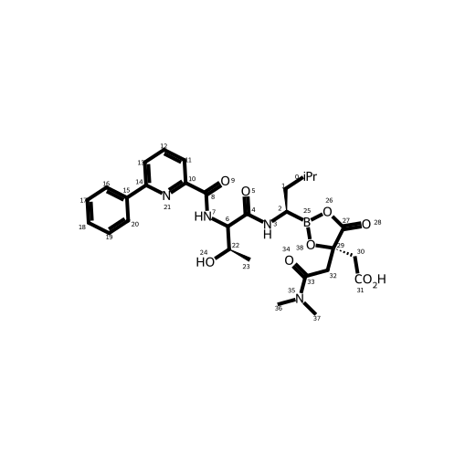 CC(C)C[C@H](NC(=O)C(NC(=O)c1cccc(-c2ccccc2)n1)[C@@H](C)O)B1OC(=O)[C@@](CC(=O)O)(CC(=O)N(C)C)O1